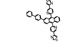 c1ccc(-c2ccc(-c3ccc4c(-c5ccc(-c6cscn6)cn5)c5ccccc5c(-c5ccc(-c6cscn6)cn5)c4c3)cc2)cc1